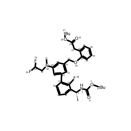 C[C@@H](NC(=O)OC(C)(C)C)c1cccc(-c2cc(COc3ccccc3CC(=O)OC(C)(C)C)cc(N(C)CC(F)F)c2)c1F